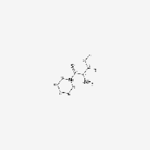 CCC(C)C(N)C(=S)N1CCCCC1